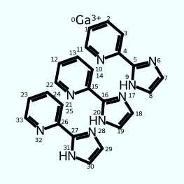 [Ga+3].c1ccc(-c2ncc[nH]2)nc1.c1ccc(-c2ncc[nH]2)nc1.c1ccc(-c2ncc[nH]2)nc1